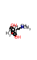 C=C[C@@]12CCc3cc(O)ccc3[C@H]1[C@@H](CCCCCN(C)C)C[C@@]1(C)[C@H]2CC[C@@H]1O